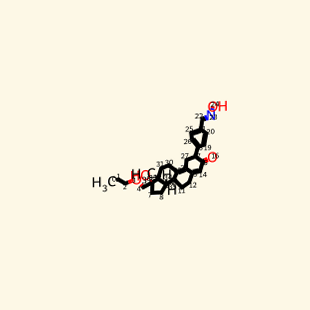 CCCOC[C@]1(O)CC[C@H]2[C@@H]3CCC4=CC(=O)C(c5ccc(C=NO)cc5)CC4=C3CC[C@@]21C